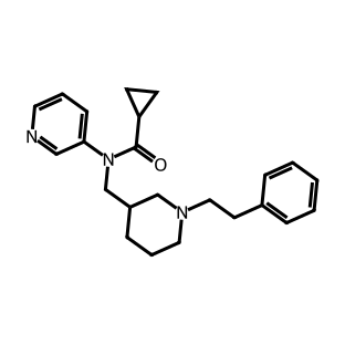 O=C(C1CC1)N(CC1CCCN(CCc2ccccc2)C1)c1cccnc1